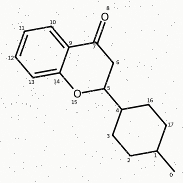 CC1CCC(C2CC(=O)c3ccccc3O2)CC1